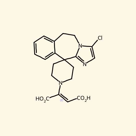 O=C(O)/C=C(/C(=O)O)N1CCC2(CC1)c1ccccc1CCn1c(Cl)cnc12